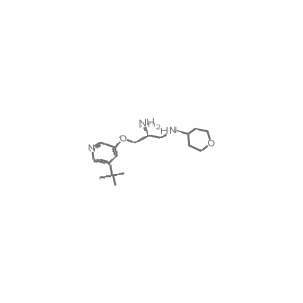 CC(C)(C)c1cncc(OC[C@@H](N)CNC2CCOCC2)c1